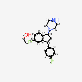 CCO.Fc1ccc(C2CC(N3CCNCC3)c3ccc(F)cc32)cc1